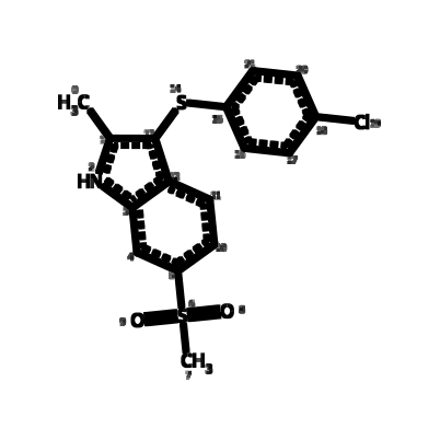 Cc1[nH]c2cc(S(C)(=O)=O)ccc2c1Sc1ccc(Cl)cc1